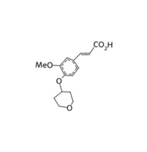 COc1cc(C=CC(=O)O)ccc1OC1CCOCC1